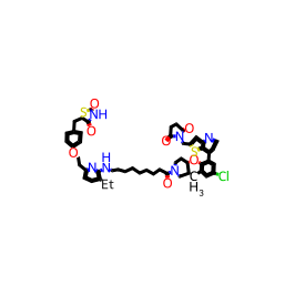 CCc1ccc(CCOc2ccc(CC3SC(=O)NC3=O)cc2)nc1NCCCCCCCCC(=O)N1CCC(Oc2c(C)cc(Cl)cc2-c2ccnc3cc(CN4C(=O)CCC4=O)sc23)CC1